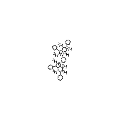 [2H]c1c(-c2ccccc2)c([2H])c2c(-c3ccccc3)c([2H])n(-c3cccc(-n4c([2H])c(-c5ccccc5)c5c([2H])c(-c6ccccc6)c([2H])c([2H])c54)c3)c2c1[2H]